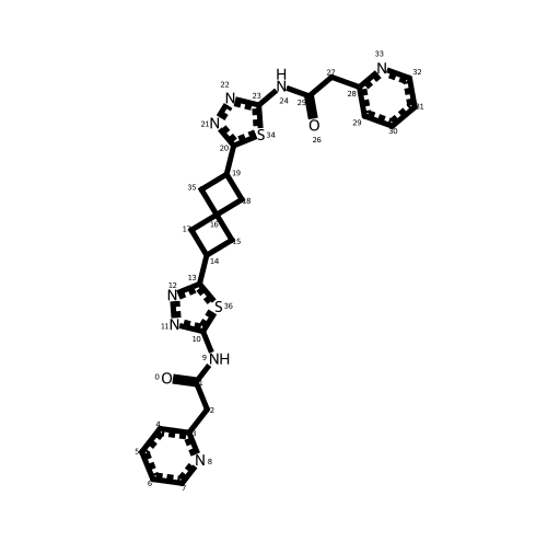 O=C(Cc1ccccn1)Nc1nnc(C2CC3(C2)CC(c2nnc(NC(=O)Cc4ccccn4)s2)C3)s1